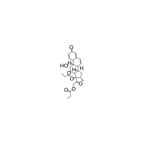 CCC(=O)OCC(=O)[C@@]1(OC(=O)CC)[C@H](C)C[C@H]2[C@@H]3C=CC4=CC(=O)C=C[C@]4(C)[C@H]3[C@@H](O)C[C@@]21C